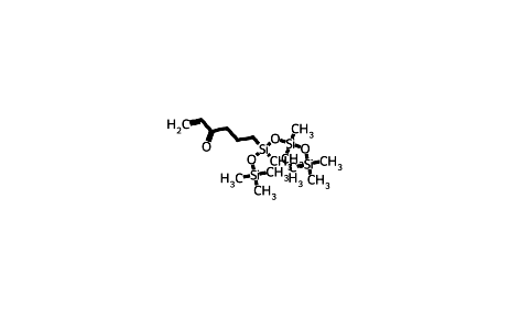 C=CC(=O)CCC[Si](C)(O[Si](C)(C)C)O[Si](C)(C)O[Si](C)(C)C